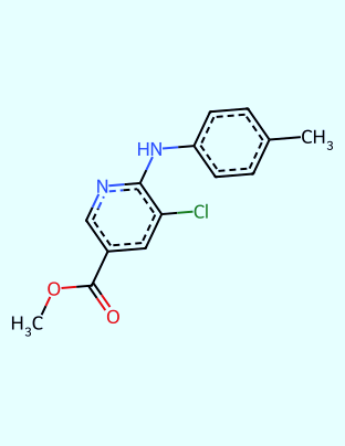 COC(=O)c1cnc(Nc2ccc(C)cc2)c(Cl)c1